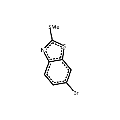 CSc1nc2ccc(Br)cc2s1